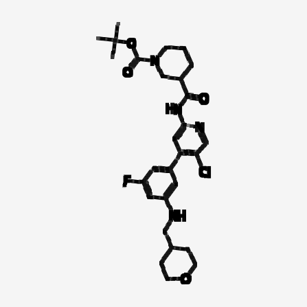 CC(C)(C)OC(=O)N1CCCC(C(=O)Nc2cc(-c3cc(F)cc(NCC4CCOCC4)c3)c(Cl)cn2)C1